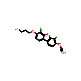 C#COc1ccc2c(oc3c(F)c(OCCCC(C)C)ccc32)c1F